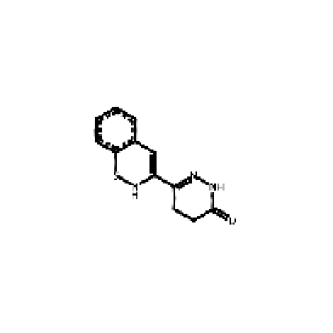 O=C1CCC(C2=Cc3ccccc3SN2)=NN1